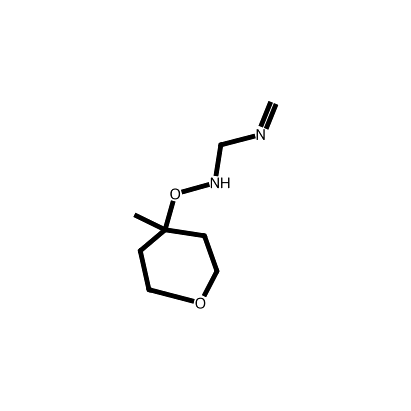 C=NCNOC1(C)CCOCC1